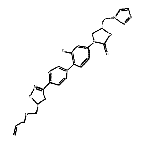 C=CCOC[C@@H]1CC(c2ccc(-c3ccc(N4C[C@H](Cn5ccnn5)OC4=O)cc3F)cn2)=NO1